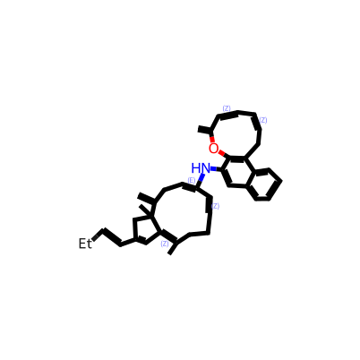 C=C1/C=C\C=C/Cc2c(c(NC3=C/CC(=C)C4(C)CC(C=CCC)=C/C4=C(\C)CC/C=C\3)cc3ccccc23)O1